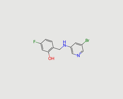 Oc1cc(F)ccc1CNc1cncc(Br)c1